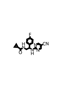 N#Cc1cnc(NC(CNC(=O)C2CC2)c2ccc(F)cc2)nc1